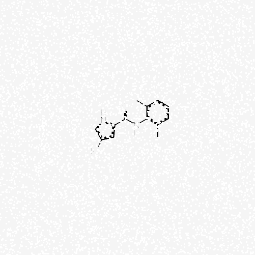 Cc1cccc(C)c1NC(=O)c1cc(O)c[nH]1